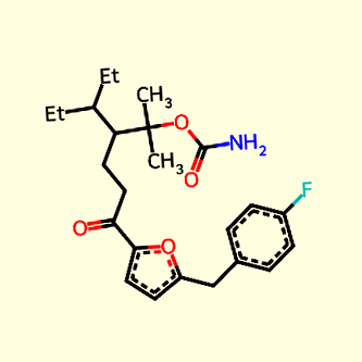 CCC(CC)C(CCC(=O)c1ccc(Cc2ccc(F)cc2)o1)C(C)(C)OC(N)=O